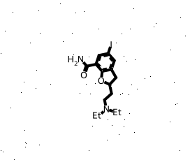 CCN(CC)CCC1Cc2cc(I)cc(C(N)=O)c2O1